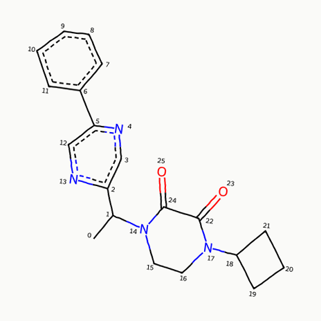 CC(c1cnc(-c2ccccc2)cn1)N1CCN(C2CCC2)C(=O)C1=O